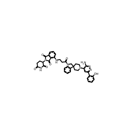 Nc1nnc(-c2ccccc2O)cc1N1CCC(CNC(=O)CCNc2cccc3c2C(=O)N(C2CCC(=O)NC2=O)C3=O)(c2ccccc2)CC1